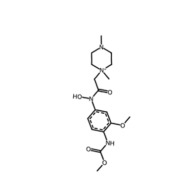 COC(=O)Nc1ccc(N(O)C(=O)C[N+]2(C)CCN(C)CC2)cc1OC